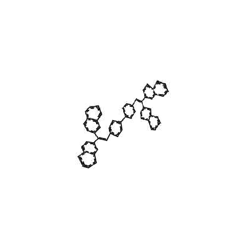 C(=C(c1ccc2ccccc2c1)c1ccc2ccccc2c1)c1ccc(-c2ccc(C=C(c3ccc4ccccc4c3)c3ccc4ccccc4c3)cc2)cc1